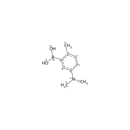 Cc1ccc(N(C)C)cc1B(O)O